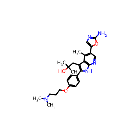 Cc1c(-c2cnc(N)o2)cnc2[nH]c(-c3ccc(OCCCN(C)C)cc3)c(CC(C)(C)O)c12